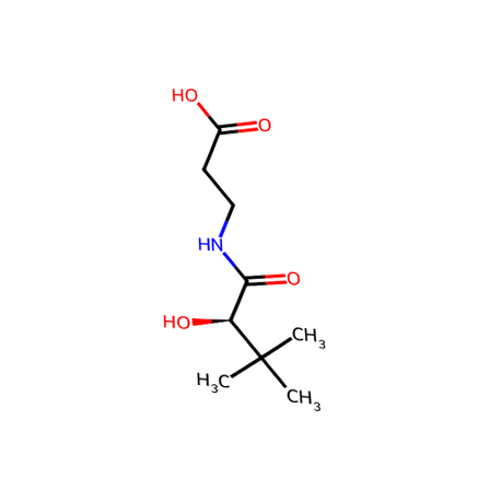 CC(C)(C)[C@@H](O)C(=O)NCCC(=O)O